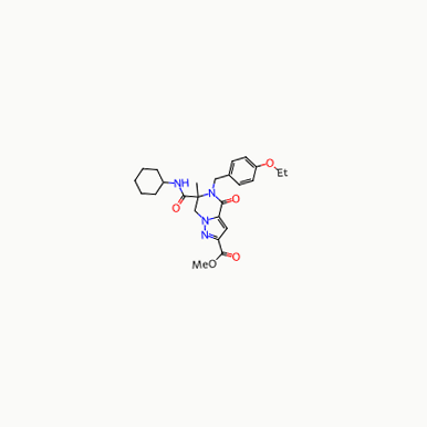 CCOc1ccc(CN2C(=O)c3cc(C(=O)OC)nn3CC2(C)C(=O)NC2CCCCC2)cc1